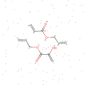 C=CCOC(=O)C(=C)O.C=CCOC(=O)C=C